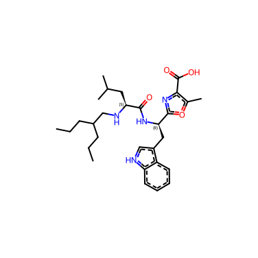 CCCC(CCC)CN[C@@H](CC(C)C)C(=O)N[C@H](Cc1c[nH]c2ccccc12)c1nc(C(=O)O)c(C)o1